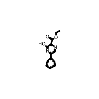 CCOC(=O)c1ncc(-c2ccccc2)nc1O